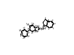 c1ccc2c(c1)CC[C@@H]2Nc1nc2ccc(-c3ccncc3)cc2s1